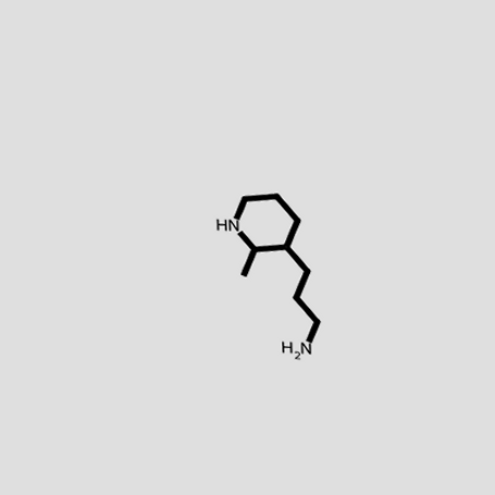 CC1NCCCC1CCCN